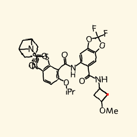 COC12CC(NC(=O)c3cc4c(cc3NC(=O)c3c(OC(C)C)ccc5nc(N6C7CC6CS(=O)(=O)C7)sc35)OC(F)(F)O4)(C1)C2